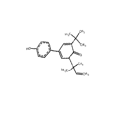 C=CC(C)(C)C1C=C(c2ccc(O)cc2)C=C(C(C)(C)C)C1=O